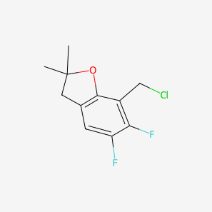 CC1(C)Cc2cc(F)c(F)c(CCl)c2O1